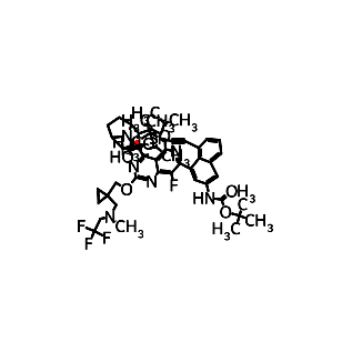 CC1Oc2nc(-c3cc(NC(=O)OC(C)(C)C)cc4cccc(C#C[Si](C(C)C)(C(C)C)C(C)C)c34)c(F)c3nc(OCC4(CN(C)CC(F)(F)F)CC4)nc(c23)N2CC3CCC(C12)N3C(=O)O